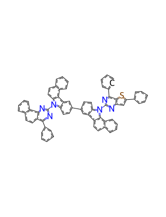 c1ccc(-c2cc3nc(-n4c5ccc(-c6ccc7c(c6)c6c8ccccc8ccc6n7-c6nc(-c7ccccc7)c7ccc8ccccc8c7n6)cc5c5ccc6ccccc6c54)nc(-c4ccccc4)c3s2)cc1